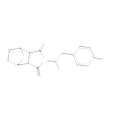 O=C(O)C(Cc1ccc(O)cc1)N1C(=O)C2C(C1=O)[C@H]1CC[C@@H]2O1